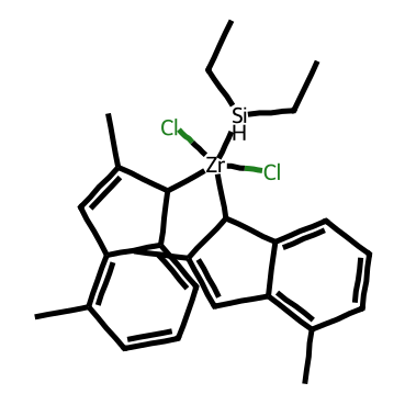 CC[SiH](CC)[Zr]([Cl])([Cl])([CH]1C(C)=Cc2c(C)cccc21)[CH]1C(C)=Cc2c(C)cccc21